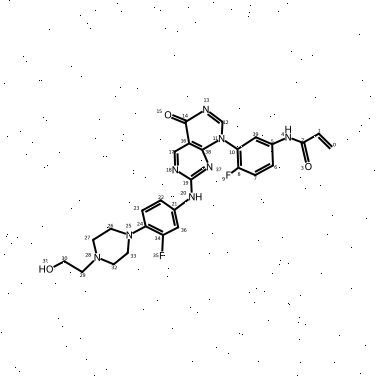 C=CC(=O)Nc1ccc(F)c(-n2cnc(=O)c3cnc(Nc4ccc(N5CCN(CCO)CC5)c(F)c4)nc32)c1